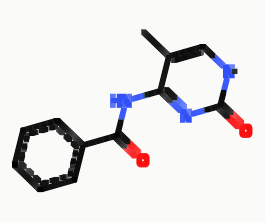 CC1=C[N]C(=O)N=C1NC(=O)c1ccccc1